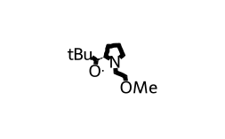 COCCN1CCC[C@H]1C([O])C(C)(C)C